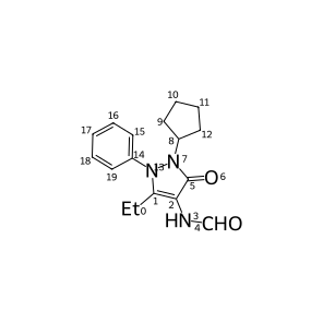 CCc1c(NC=O)c(=O)n(C2CCCC2)n1-c1ccccc1